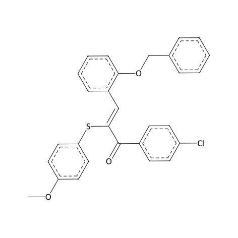 COc1ccc(SC(=Cc2ccccc2OCc2ccccc2)C(=O)c2ccc(Cl)cc2)cc1